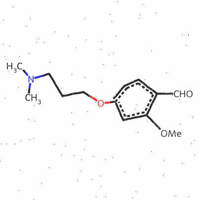 COc1cc(OCCCN(C)C)ccc1C=O